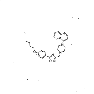 CCCCOc1ccc(-c2nc(CN3CCN(c4ccnc5ccccc45)CC3)no2)cc1